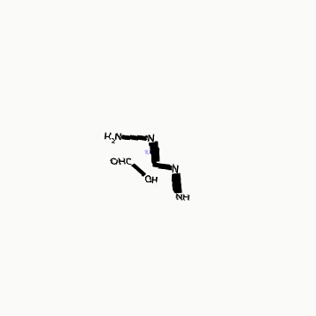 N=N/C=N/N.O=CO